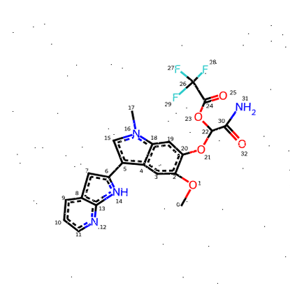 COc1cc2c(-c3cc4cccnc4[nH]3)cn(C)c2cc1OC(OC(=O)C(F)(F)F)C(N)=O